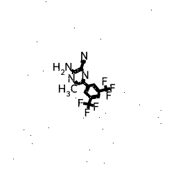 Cc1nc(N)c(C#N)nc1-c1cc(C(F)(F)F)cc(C(F)(F)F)c1